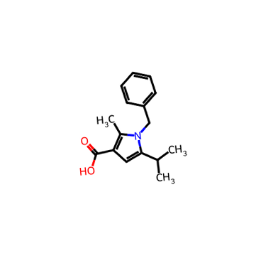 Cc1c(C(=O)O)cc(C(C)C)n1Cc1ccccc1